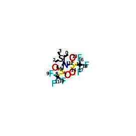 C[Si](C)(C)N(S(=O)(=O)C(F)(F)F)S(=O)(=O)C(F)(F)F